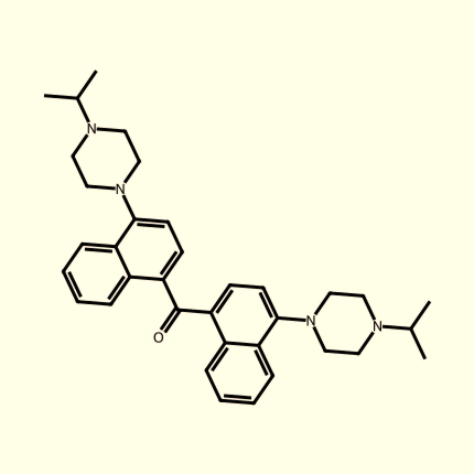 CC(C)N1CCN(c2ccc(C(=O)c3ccc(N4CCN(C(C)C)CC4)c4ccccc34)c3ccccc23)CC1